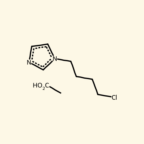 CC(=O)O.ClCCCCn1ccnc1